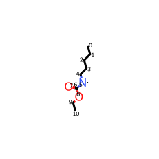 CCCCC[N]C(=O)OCC